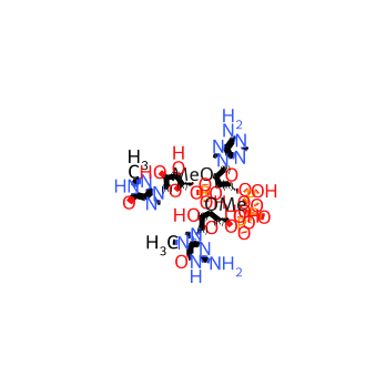 COC1[C@@H](OP(=O)(O)OC[C@H]2O[C@@H](n3cnc4c(=O)[nH]c(C)nc43)C(O)[C@H]2O)[C@@H](COP(=O)(O)OP(=O)(O)OP(=O)(O)OC[C@H]2O[C@@H](n3c[n+](C)c4c(=O)[nH]c(N)nc43)[C@@H](O)C2OC)O[C@H]1n1cnc2c(N)ncnc21